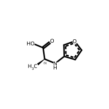 C[C@H](Nc1ccoc1)C(=O)O